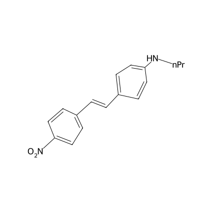 CCCNc1ccc(C=Cc2ccc([N+](=O)[O-])cc2)cc1